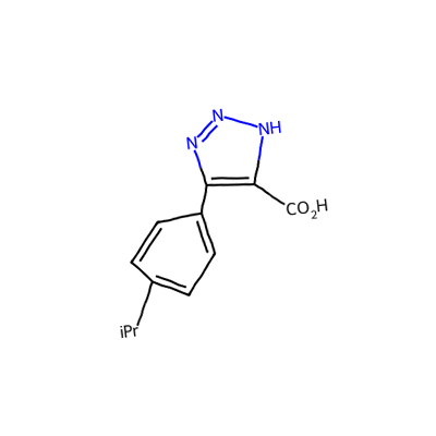 CC(C)c1ccc(-c2nn[nH]c2C(=O)O)cc1